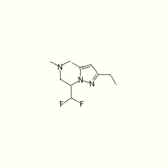 CCc1cc2n(n1)C(C(F)F)CN(C)C2